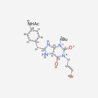 CCCCn1c(=O)n(CC=CBr)c(=O)c2[nH]c(Cc3ccc(NC(C)=O)cc3)nc21